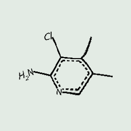 Cc1cnc(N)c(Cl)c1C